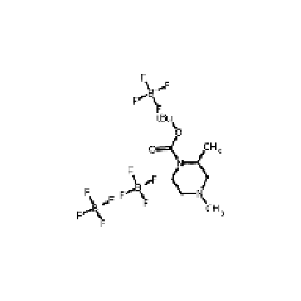 CC1CN(C)CCN1C(=O)OC(C)(C)C.F[B-](F)(F)F.F[B-](F)(F)F.F[B-](F)(F)F